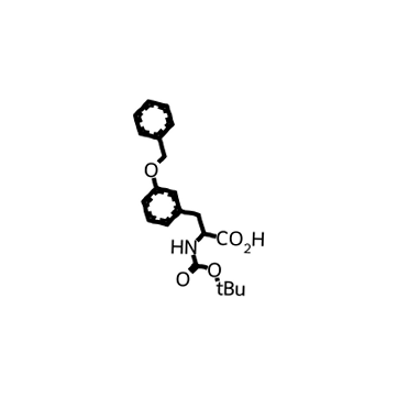 CC(C)(C)OC(=O)NC(Cc1cccc(OCc2ccccc2)c1)C(=O)O